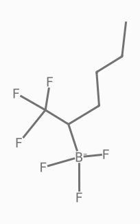 CCCCC([B-](F)(F)F)C(F)(F)F